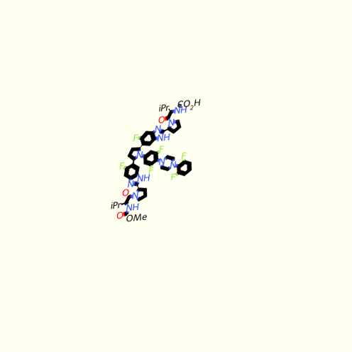 COC(=O)N[C@H](C(=O)N1CCC[C@H]1c1nc2cc(F)c([C@H]3CC[C@H](c4cc5[nH]c([C@@H]6CCCN6C(=O)[C@@H](NC(=O)O)C(C)C)nc5cc4F)N3c3cc(F)c(N4CCN(c5c(F)cccc5F)CC4)c(F)c3)cc2[nH]1)C(C)C